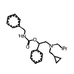 CC(C)CN(CC1CC1)CC(OC(=O)NCc1ccccc1)c1ccccc1